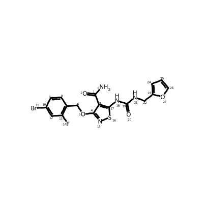 NC(=O)c1c(OCc2ccc(Br)cc2F)nsc1NC(=O)NCc1ccco1